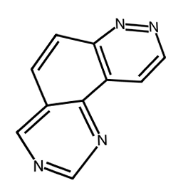 c1cc2c(ccc3cncnc32)nn1